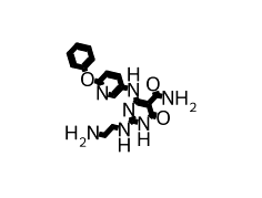 NCCNc1nc(Nc2ccc(Oc3ccccc3)nc2)c(C(N)=O)c(=O)[nH]1